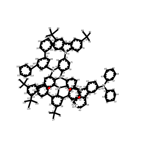 CC(C)(C)c1cc(-c2cc3c4c(c2)N(c2c(-c5ccccc5)cc(C(C)(C)C)cc2-c2ccccc2)c2cc(-n5c6ccccc6c6cc(N(c7ccccc7)c7ccccc7)ccc65)ccc2B4c2ccc(-n4c5ccc(C(C)(C)C)cc5c5cc(C(C)(C)C)ccc54)cc2N3c2cc(-c3ccccc3)cc(-c3ccccc3)c2)cc(C(C)(C)C)c1